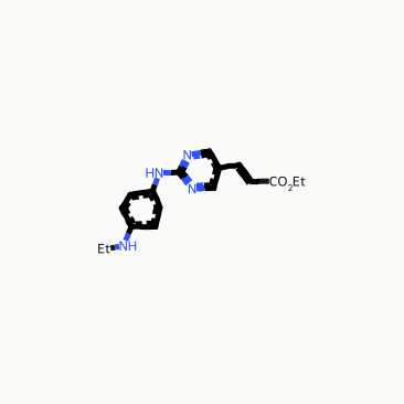 CCNc1ccc(Nc2ncc(C=CC(=O)OCC)cn2)cc1